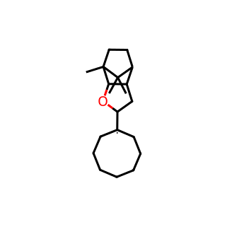 CC1(C)C2CCC1(C)C1OC([C]3CCCCCCC3)CC21